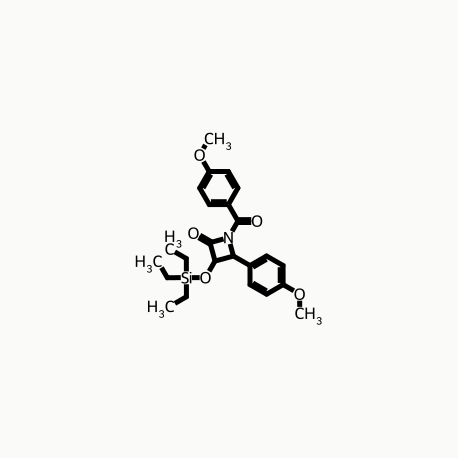 CC[Si](CC)(CC)OC1C(=O)N(C(=O)c2ccc(OC)cc2)C1c1ccc(OC)cc1